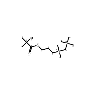 CCC(C)(C)C(=O)OCCC[Si](C)(C)C[Si](C)(C)C